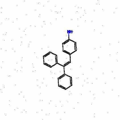 [NH]c1ccc(C=C(c2ccccc2)c2ccccc2)cc1